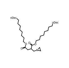 CCCCCCCCCCCCCCCCCCOC(=O)CC(CN1CC1)C(=O)OCCCCCCCCCCCCCCCCCC